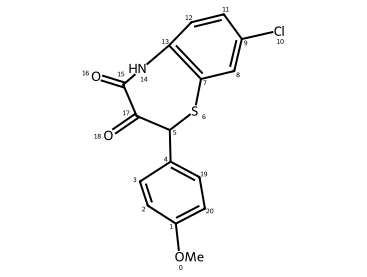 COc1ccc(C2Sc3cc(Cl)ccc3NC(=O)C2=O)cc1